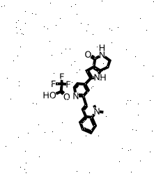 CN(C)c1ccccc1/C=C/c1cc(-c2cc3c([nH]2)CCNC3=O)ccn1.O=C(O)C(F)(F)F